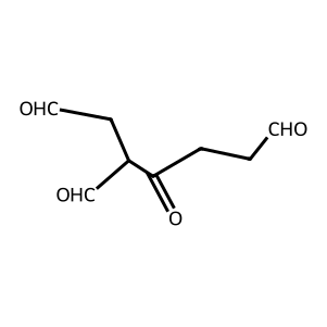 O=CCCC(=O)C(C=O)CC=O